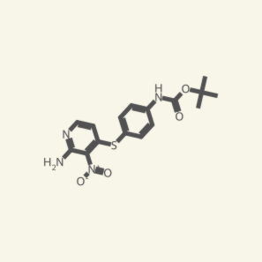 CC(C)(C)OC(=O)Nc1ccc(Sc2ccnc(N)c2[N+](=O)[O-])cc1